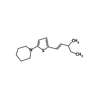 CCC(C)/C=C/c1ccc(N2CCCCC2)s1